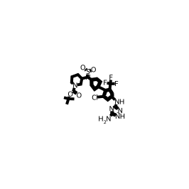 CC(C)(C)OC(=O)N1CCCC(C(c2ccc(-c3c(Cl)cc(Nc4n[nH]c(N)n4)cc3C(F)(F)F)cc2)[SH](=O)=O)C1